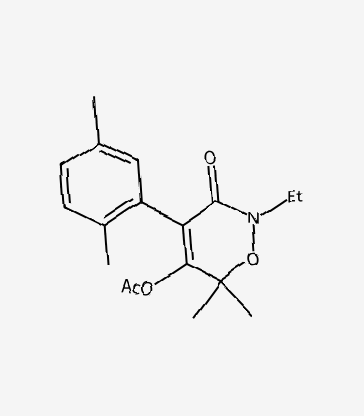 CCN1OC(C)(C)C(OC(C)=O)=C(c2cc(C)ccc2C)C1=O